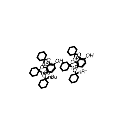 CCCC1(Oc2ccc(O)c(OC3(CCC)CCCCC3)c2OC2(CCC)CCCCC2)CCCCC1.CCCCC1(Oc2ccc(O)c(OC3(CCCC)CCCCC3)c2OC2(CCCC)CCCCC2)CCCCC1